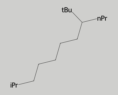 CCCC(CCCCCC(C)C)C(C)(C)C